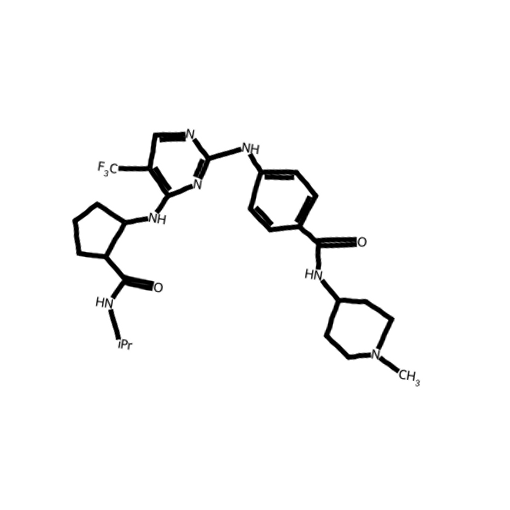 CC(C)NC(=O)C1CCCC1Nc1nc(Nc2ccc(C(=O)NC3CCN(C)CC3)cc2)ncc1C(F)(F)F